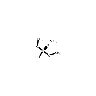 COP(=O)(O)OC.[SbH3]